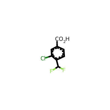 O=C(O)c1ccc(C(F)F)c(Cl)c1